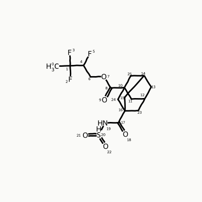 CC(F)(F)C(F)COC(=O)C12CC3CC(CC(C(=O)N[SH](=O)=O)(C3)C1)C2